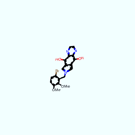 COc1ccc(Br)c(Cn2cc3c(O)c4nccnc4c(O)c3c2)c1OC